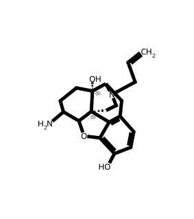 C=CCN1CC[C@]23c4c5ccc(O)c4OC2C(N)CC[C@@]3(O)C1C5